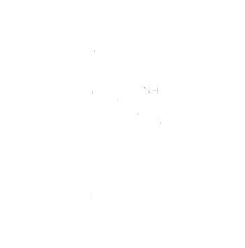 C[C@H](NS(=O)(=O)c1ccc(Cl)cc1)C(=O)Cl